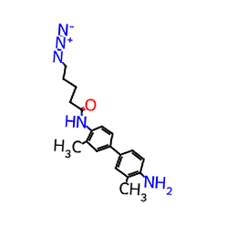 Cc1cc(-c2ccc(NC(=O)CCCCN=[N+]=[N-])c(C)c2)ccc1N